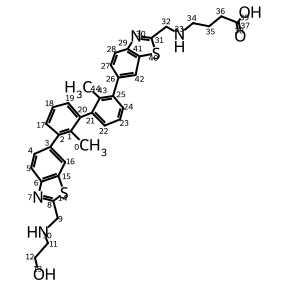 Cc1c(-c2ccc3nc(CNCCO)sc3c2)cccc1-c1cccc(-c2ccc3nc(CNCCCC(=O)O)sc3c2)c1C